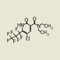 CCN(CC)C(=O)c1cc(Cl)c(C(F)(F)C(F)(F)C(F)(F)F)[nH]c1=O